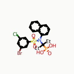 CCC(CC)(N(c1cccc2ccccc12)S(=O)(=O)c1cc(Cl)cc(Br)c1)P(=O)(O)O